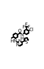 Cc1ccc(C(=O)Nc2ccc(Cl)c(C(F)(F)F)c2)cc1Nc1nccc(-c2cccs2)n1